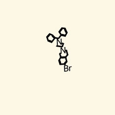 Brc1ccc2c(c1)CCN(C1CN(C(c3ccccc3)c3ccccc3)C1)C2